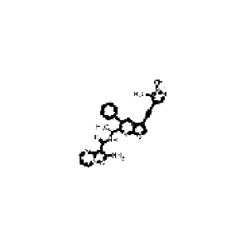 Cc1c(C#Cc2csc3nc([C@H](C)NC(=O)c4c(N)nn5cccnc45)c(-c4ccccc4)cc23)cnn1C